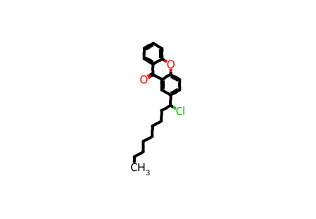 CCCCCCCCC(Cl)c1ccc2oc3ccccc3c(=O)c2c1